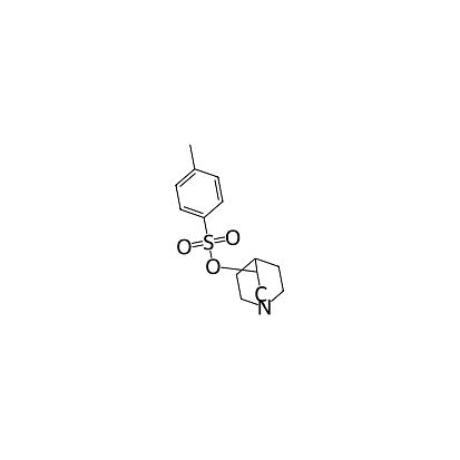 Cc1ccc(S(=O)(=O)OC2CN3CCC2CC3)cc1